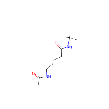 CC(=O)NCCCCC(=O)NC(C)(C)C